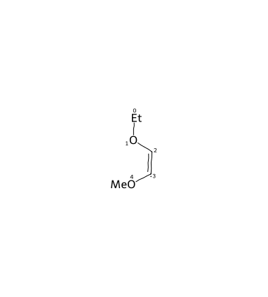 CCO/C=[C]\OC